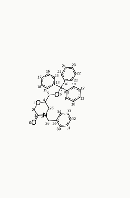 O=C1COC(COC(c2ccccc2)(c2ccccc2)c2ccccc2)CN1Cc1ccccc1